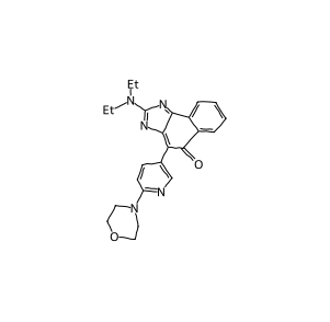 CCN(CC)C1=NC2=C(c3ccc(N4CCOCC4)nc3)C(=O)c3ccccc3C2=N1